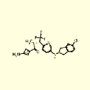 CN(C(=O)C12CC(N)(C1)C2)[C@@H](c1ccc(NC2Cc3ccc(Cl)cc3C2)cn1)C(F)(F)F